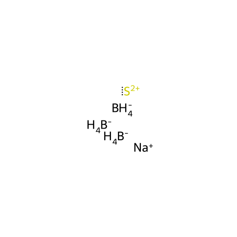 [BH4-].[BH4-].[BH4-].[Na+].[S+2]